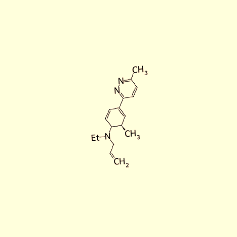 C=CCN(CC)C1C=CC(c2ccc(C)nn2)=C[C@H]1C